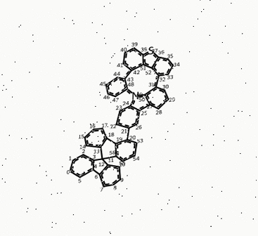 c1ccc2c(c1)-c1ccccc1C21c2ccccc2-c2c(-c3ccc4c(c3)c3cccc5c6cccc7sc8cccc(c9ccccc9n4c53)c8c76)cccc21